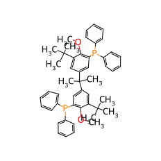 COc1c(P(c2ccccc2)c2ccccc2)cc(C(C)(C)c2cc(P(c3ccccc3)c3ccccc3)c(OC)c(C(C)(C)C)c2)cc1C(C)(C)C